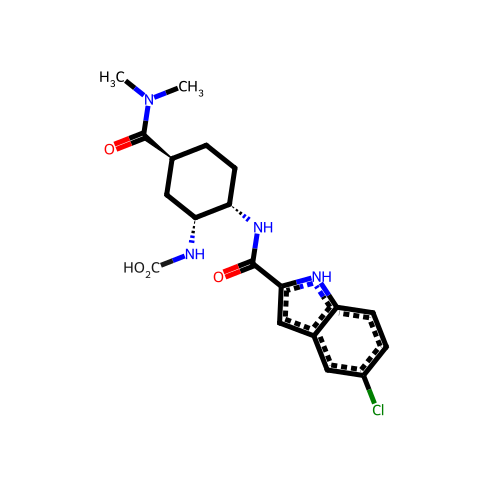 CN(C)C(=O)[C@H]1CC[C@H](NC(=O)c2cc3cc(Cl)ccc3[nH]2)[C@H](NC(=O)O)C1